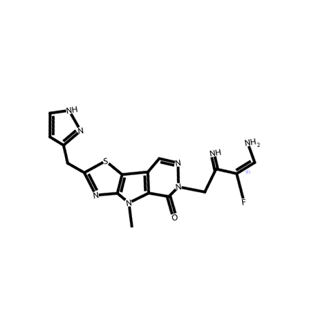 Cn1c2nc(Cc3cc[nH]n3)sc2c2cnn(CC(=N)/C(F)=C\N)c(=O)c21